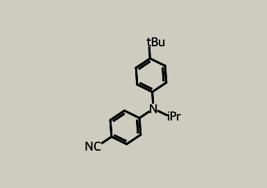 CC(C)N(c1ccc(C#N)cc1)c1ccc(C(C)(C)C)cc1